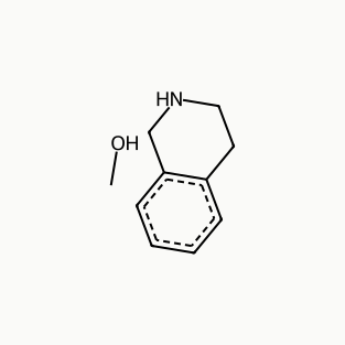 CO.c1ccc2c(c1)CCNC2